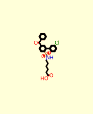 O=C(O)CCCCCNS(=O)(=O)c1ccc(C(=O)c2ccccc2)cc1-c1cccc(Cl)c1